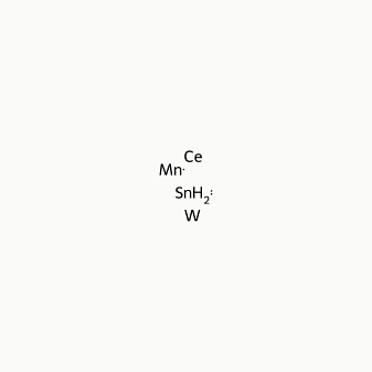 [Ce].[Mn].[SnH2].[W]